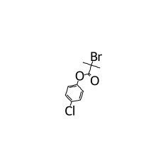 CC(C)(Br)C(=O)Oc1ccc(Cl)cc1